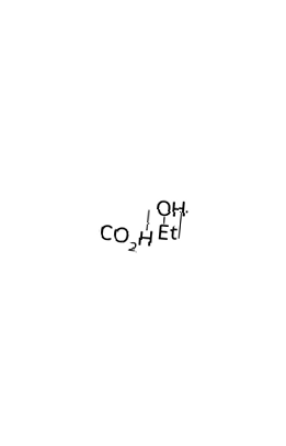 CC(=O)O.CCO.[CH2]C